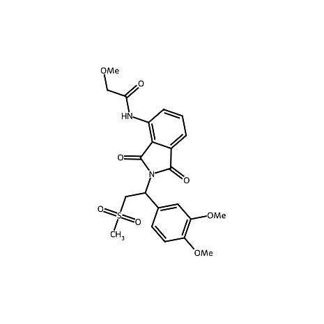 COCC(=O)Nc1cccc2c1C(=O)N(C(CS(C)(=O)=O)c1ccc(OC)c(OC)c1)C2=O